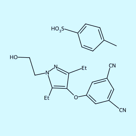 CCc1nn(CCO)c(CC)c1Oc1cc(C#N)cc(C#N)c1.Cc1ccc(S(=O)(=O)O)cc1